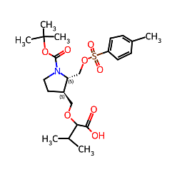 Cc1ccc(S(=O)(=O)OC[C@@H]2[C@@H](COC(C(=O)O)C(C)C)CCN2C(=O)OC(C)(C)C)cc1